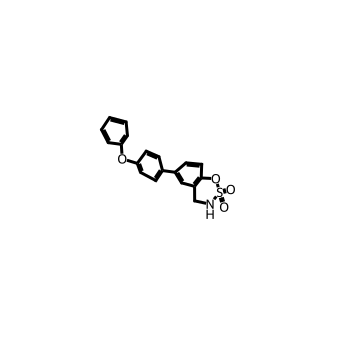 O=S1(=O)NCc2cc(-c3ccc(Oc4ccccc4)cc3)ccc2O1